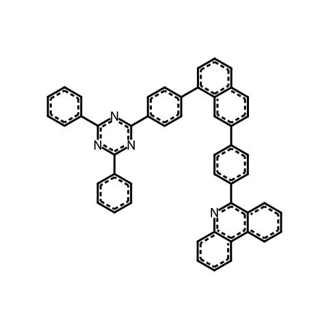 c1ccc(-c2nc(-c3ccccc3)nc(-c3ccc(-c4cccc5ccc(-c6ccc(-c7nc8ccccc8c8ccccc78)cc6)cc45)cc3)n2)cc1